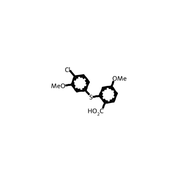 COc1ccc(C(=O)O)c(Sc2ccc(Cl)c(OC)c2)c1